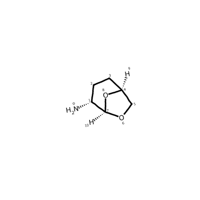 N[C@@H]1CC[C@H]2CO[C@@H]1O2